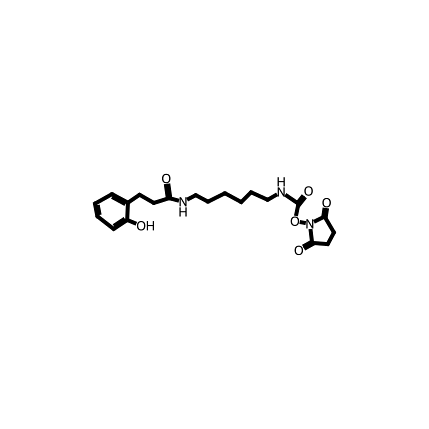 O=C(CCc1ccccc1O)NCCCCCCNC(=O)ON1C(=O)CCC1=O